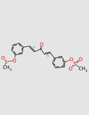 CS(=O)Oc1cccc(/C=C/C(=O)/C=C/c2cccc(OS(C)(=O)=O)c2)c1